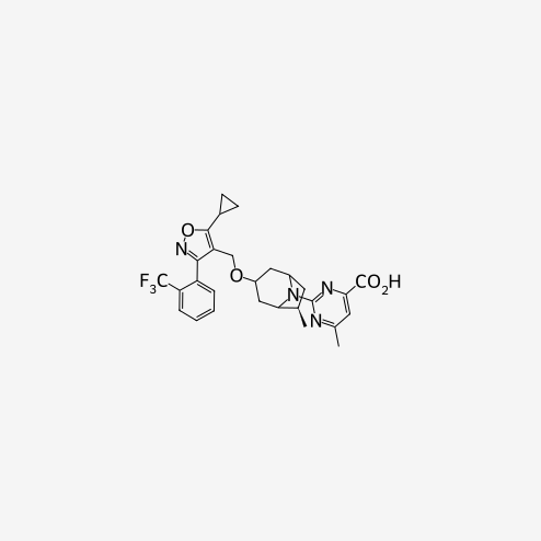 Cc1cc(C(=O)O)nc(N2C3CC(OCc4c(-c5ccccc5C(F)(F)F)noc4C4CC4)CC2[C@H](C)C3)n1